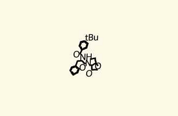 CC(C)(C)c1ccc(C(=O)NC(Cc2ccccc2)C(=O)N2CCC3OCC(=O)C32)cc1